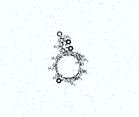 CC(C)C[C@H]1CC(=O)N[C@@H]([C@@H](C)O)C(=O)N(C)[C@@H](C)C(=O)CN[C@H](C(=O)N(C)[C@@H](Cc2ccccc2)C(=O)N(C)[C@@H](Cc2ccccc2)C(=O)N[C@@H](C)C(=O)N2CCCCC2)CC(=O)N(C)CCC(=O)N(C)CCC(=O)N(C)C[C@@H](Cc2ccccc2)C(=O)N[C@@H](C)C(=O)N(C)[C@@H](CC(C)C)C(=O)N1C